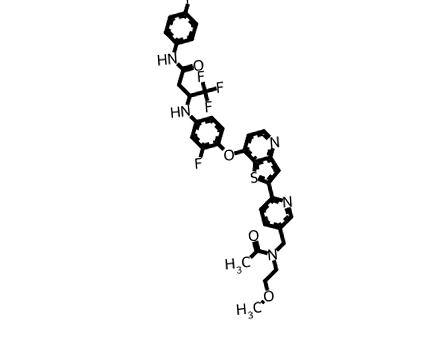 COCCN(Cc1ccc(-c2cc3nccc(Oc4ccc(NC(CC(=O)Nc5ccc(F)cc5)C(F)(F)F)cc4F)c3s2)nc1)C(C)=O